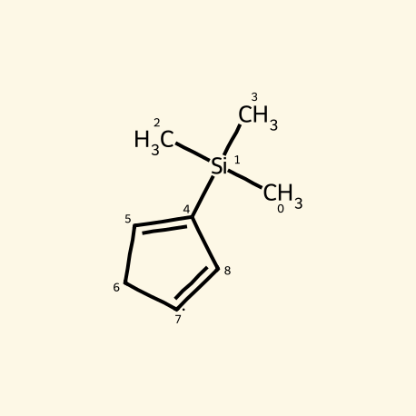 C[Si](C)(C)C1=CC[C]=C1